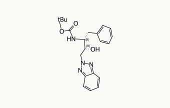 CC(C)(C)OC(=O)N[C@H](Cc1ccccc1)[C@H](O)Cn1nc2ccccc2n1